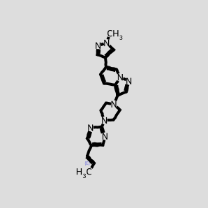 C/C=C/c1cnc(N2CCN(c3cnn4cc(-c5cnn(C)c5)ccc34)CC2)nc1